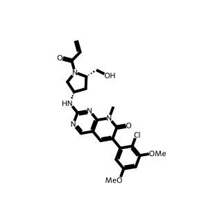 C=CC(=O)N1C[C@@H](Nc2ncc3cc(-c4cc(OC)cc(OC)c4Cl)c(=O)n(C)c3n2)C[C@H]1CO